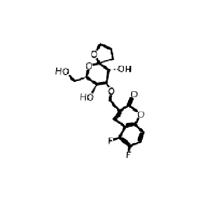 O=c1oc2ccc(F)c(F)c2cc1CO[C@H]1[C@@H](O)[C@@H](CO)O[C@@]2(CCCO2)[C@@H]1O